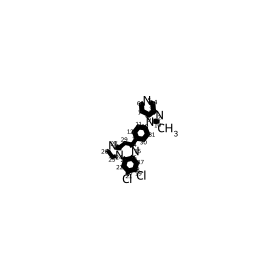 Cc1nc2cnccc2n1-c1ccc(C2=Nc3cc(Cl)c(Cl)cc3N3CCN=C3C2)cc1